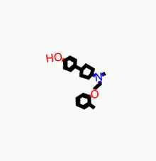 Cc1ccccc1OCCN(C)C1CCC(c2ccc(O)cc2)CC1